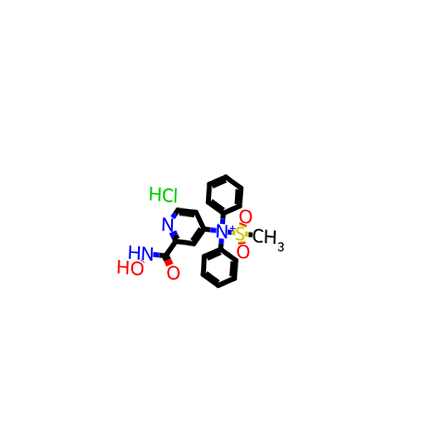 CS(=O)(=O)[N+](c1ccccc1)(c1ccccc1)c1ccnc(C(=O)NO)c1.Cl